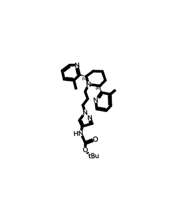 Cc1cccnc1[C@H]1CCC[C@@H](c2ncccc2C)N1CCCn1cc(NC(=O)OC(C)(C)C)cn1